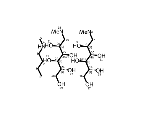 CCCCNC.CNC[C@H](O)[C@@H](O)[C@H](O)[C@H](O)CO.CNC[C@H](O)[C@@H](O)[C@H](O)[C@H](O)CO